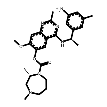 COc1cc2nc(C)nc(N[C@H](C)c3cc(C)cc(N)c3)c2cc1OC(=O)N1CCCN(C)C[C@@H]1C